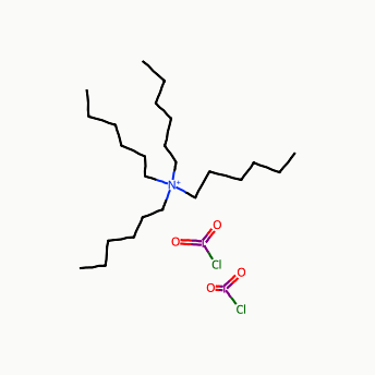 CCCCCC[N+](CCCCCC)(CCCCCC)CCCCCC.O=I(=O)Cl.O=I(=O)Cl